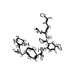 C=N/C(=C\C=C(/C)Cl)NC(=O)c1cc(Cl)ccc1NC(=O)c1ccc(CN(C)C2=NCCN2)cc1